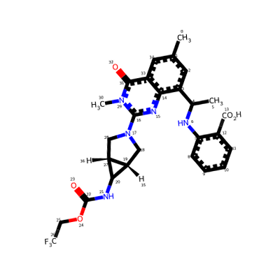 Cc1cc(C(C)Nc2ccccc2C(=O)O)c2nc(N3C[C@@H]4C(NC(=O)OCC(F)(F)F)[C@@H]4C3)n(C)c(=O)c2c1